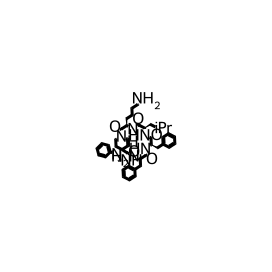 CC(C)C[C@@H](NC(=O)[C@@H](Cc1ccccc1)NC(=O)[C@H](N)Cc1ccccc1)C(=O)N[C@H](CCCCN)C(=O)N1CCC2(CC1)C(=O)NCN2c1ccccc1